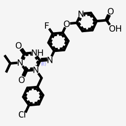 CC(C)n1c(=O)[nH]/c(=N\c2ccc(Oc3ccc(C(=O)O)cn3)c(F)c2)n(Cc2ccc(Cl)cc2)c1=O